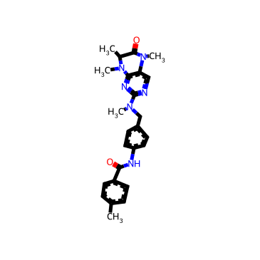 Cc1ccc(C(=O)Nc2ccc(CN(C)c3ncc4c(n3)N(C)C(C)C(=O)N4C)cc2)cc1